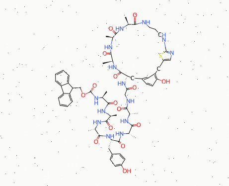 C[C@H](NC(=O)OCC1c2ccccc2-c2ccccc21)C(=O)N[C@@H](C)C(=O)N[C@@H](C)C(=O)N[C@@H](Cc1ccc(O)cc1)C(=O)N[C@@H](C)C(=O)N[C@@H](C)C(=O)NCC(=O)N[C@H]1Cc2ccc(O)c(c2)Cc2cnc(s2)NCCCNC(=O)[C@H](C)NC(=O)[C@H](C)NC(=O)[C@H](C)NC1=O